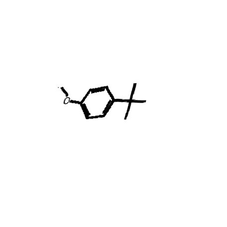 [CH2]Oc1ccc(C(C)(C)C)cc1